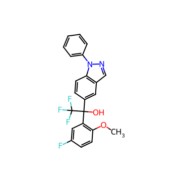 COc1ccc(F)cc1C(O)(c1ccc2c(cnn2-c2ccccc2)c1)C(F)(F)F